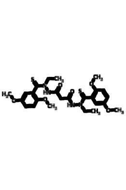 CCN(NC(=O)CC(=O)NN(CC)C(=S)c1cc(OC)ccc1OC)C(=S)c1cc(OC)ccc1OC